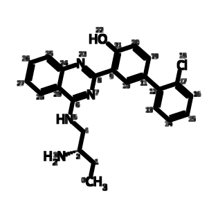 CC[C@H](N)CNc1nc(-c2cc(-c3ccccc3Cl)ccc2O)nc2ccccc12